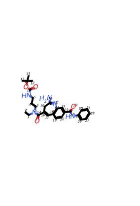 CCN(CCCNC(=O)OC(C)(C)C)C(=O)C1=Cc2ccc(C(=O)Nc3ccccc3)cc2N=C(N)C1